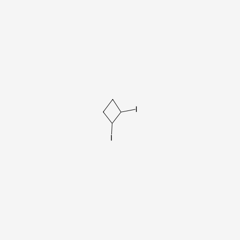 IC1CCC1I